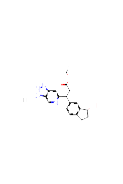 CCOC(=O)CC(c1ccc2c(c1)C(O)CC2)c1cc2nnn(C)c2cn1